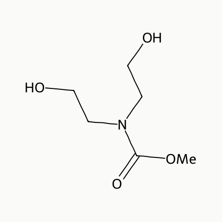 COC(=O)N(CCO)CCO